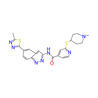 Cc1nnc(-c2ccc3nnc(NC(=O)c4ccnc(SC5CCN(C)CC5)c4)cc3c2)s1